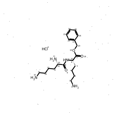 Cl.NCCCC[C@H](NC(=O)[C@@H](N)CCCCN)C(=O)OCc1ccccc1